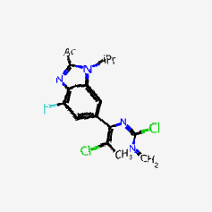 C=N/C(Cl)=N\C(=C(/C)Cl)c1cc(F)c2nc(C(C)=O)n(C(C)C)c2c1